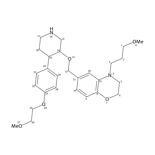 COCCCN1CCOc2ccc(COC3CNCCC3c3ccc(OCCOC)cc3)cc21